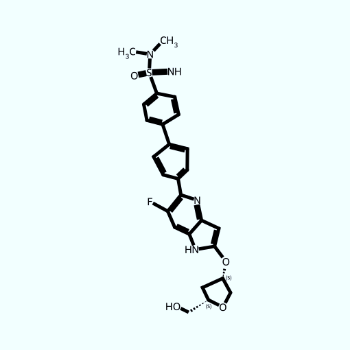 CN(C)S(=N)(=O)c1ccc(-c2ccc(-c3nc4cc(O[C@@H]5CO[C@H](CO)C5)[nH]c4cc3F)cc2)cc1